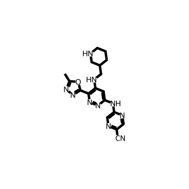 Cc1nnc(-c2nnc(Nc3cnc(C#N)cn3)cc2NCC2CCCNC2)o1